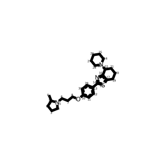 CC1CCCN1CCCOc1ccc(-c2nc3c(s2)CCCC3N2CCCCC2)cc1